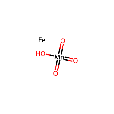 [Fe].[O]=[Mn](=[O])(=[O])[OH]